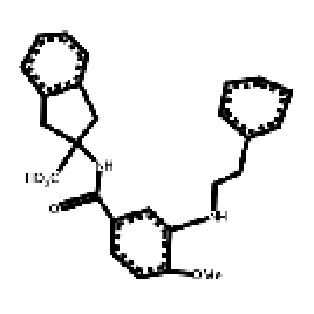 COc1ccc(C(=O)NC2(C(=O)O)Cc3ccccc3C2)cc1NCCc1ccccc1